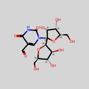 O=Cc1cn([C@]2([C@@H]3O[C@H](CO)[C@@H](O)[C@@H]3O)O[C@H](CO)[C@@H](O)[C@H]2O)c(=O)[nH]c1=O